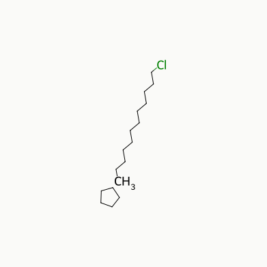 C1CCCC1.CCCCCCCCCCCCCl